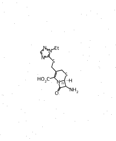 CCn1ncnc1SCC1=C(C(=O)O)N2C(=O)C(N)[C@@H]2SC1